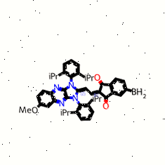 Bc1ccc2c(c1)C(=O)/C(=C/C=C1/N(c3c(C(C)C)cccc3C(C)C)c3nc4ccc(OC)cc4nc3N1c1c(C(C)C)cccc1C(C)C)C2=O